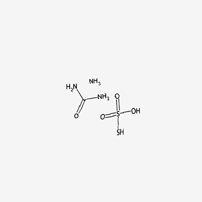 N.NC(N)=O.O=S(=O)(O)S